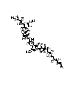 CCCCNC(=O)CNC(=O)CNC(C)(CC)C(=O)CN(CC(=O)O)C(=O)CNC(=O)CNC(C)(C)C(=O)CN(CC(=O)O)C(=O)CNC(=O)CN